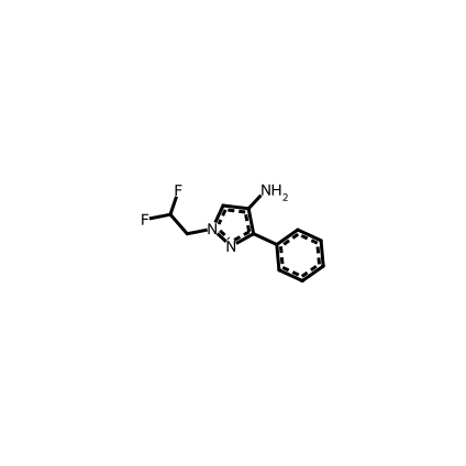 Nc1cn(CC(F)F)nc1-c1ccccc1